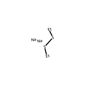 CCSSCC.[Na].[Na]